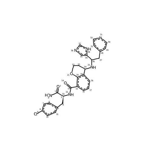 NC(=O)[C@H](Cc1ccc(Cl)cc1)NC(=O)c1cccc2c1OCCC2NC(Cc1ccncc1)c1cnc[nH]1